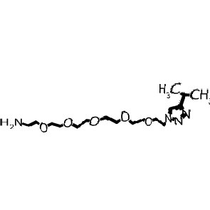 CC(C)c1cn(CCOCCOCCOCCOCCOCCN)nn1